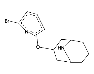 Brc1cccc(OC2CC3CCCC(C2)N3)n1